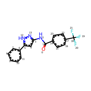 O=C(Nc1cc(-c2ccccc2)[nH]n1)c1ccc(C(F)(F)F)cc1